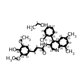 CCO.COc1cc(C=CC(=O)Nc2cnc3c(C)cc(C)cc3c2-c2ccccc2Cl)cc(OC)c1O